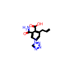 C=CCc1cccc(C(N)=O)c1C(=O)O.c1nnn[nH]1